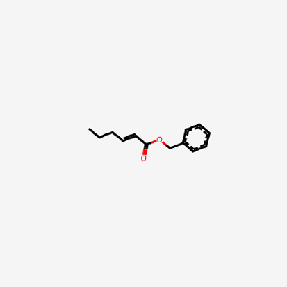 CCC/C=C/C(=O)OCc1ccccc1